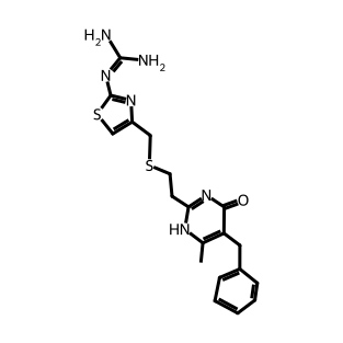 Cc1[nH]c(CCSCc2csc(N=C(N)N)n2)nc(=O)c1Cc1ccccc1